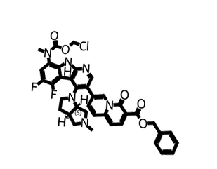 CN1C[C@@H]2CCN(c3c(-c4ccc5ccc(C(=O)OCc6ccccc6)c(=O)n5c4)cnc4[nH]c5c(N(C)C(=O)OCCl)cc(F)c(F)c5c34)[C@@H]2C1